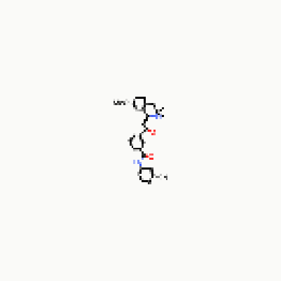 COc1ccc2c(c1)C(=CC(=O)c1cccc(C(=O)Nc3cccc(C#N)c3)c1)NC(C)(C)C2